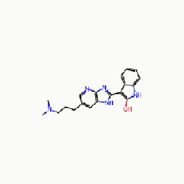 CN(C)CCCc1cnc2nc(-c3c(O)[nH]c4ccccc34)[nH]c2c1